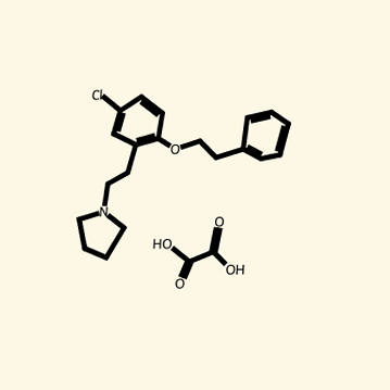 Clc1ccc(OCCc2ccccc2)c(CCN2CCCC2)c1.O=C(O)C(=O)O